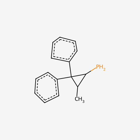 CC1C(P)C1(c1ccccc1)c1ccccc1